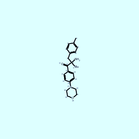 CCC(C)C(N)(Cc1ccc(C)cc1)C(=O)c1ccc(N2CCOCC2)cc1